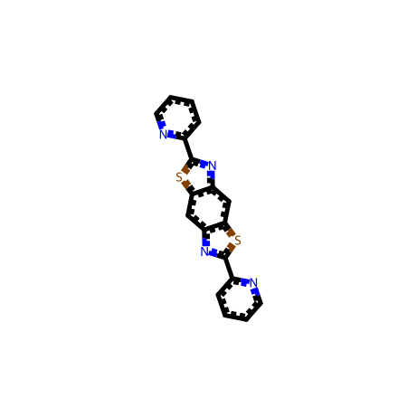 c1ccc(-c2nc3cc4sc(-c5ccccn5)nc4cc3s2)nc1